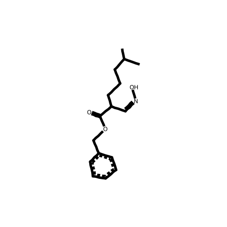 CC(C)CCCC(/C=N\O)C(=O)OCc1ccccc1